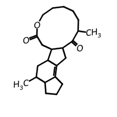 CC1CCCCCOC(=O)CC2C(CC3=C4CCCC4C(C)CC32)C1=O